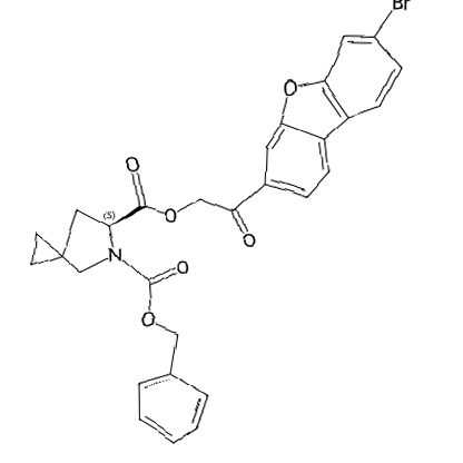 O=C(COC(=O)[C@@H]1CC2(CC2)CN1C(=O)OCc1ccccc1)c1ccc2c(c1)oc1cc(Br)ccc12